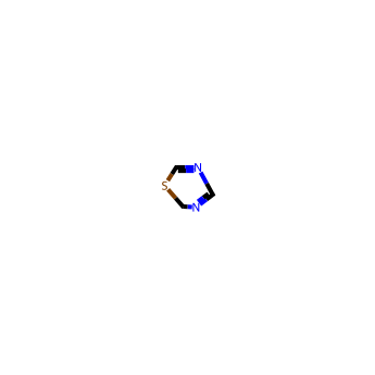 C1=NC=NCS1